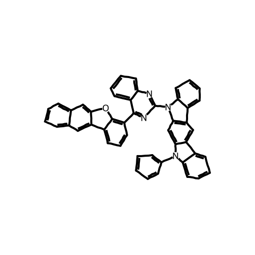 c1ccc(-n2c3ccccc3c3cc4c5ccccc5n(-c5nc(-c6cccc7c6oc6cc8ccccc8cc67)c6ccccc6n5)c4cc32)cc1